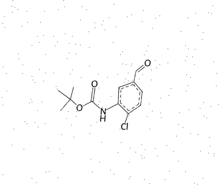 CC(C)(C)OC(=O)Nc1cc(C=O)ccc1Cl